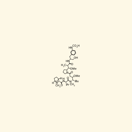 CC[C@H](C)[C@@H]([C@@H](CC(=O)N1CCCC1[C@H](OC)[C@@H](C)C(=O)NC(CO)Cc1cccc(NC(=O)O)c1)OC)N(C)C(=O)C(NC(=O)[C@@H]1[C@H]2CC[C@H](C2)N1C)C(C)C